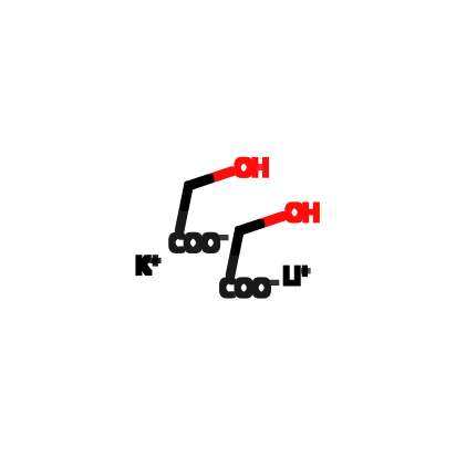 O=C([O-])CO.O=C([O-])CO.[K+].[Li+]